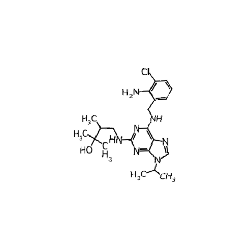 CC(C)n1cnc2c(NCc3cccc(Cl)c3N)nc(NCC(C)C(C)(C)O)nc21